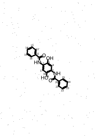 O=C(Nc1cc(O)c(NC(=O)c2ccccc2)cc1O)c1ccccc1